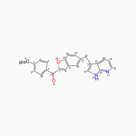 COc1ccc(C(=O)c2cc3cc(Cc4c[nH]c5ncccc45)ccc3o2)cc1